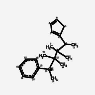 C[C](C1=CC=CC1)C(C)(C)C(C)(C)[SiH](C)c1ccccc1